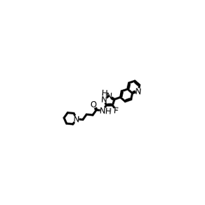 O=C(CCCN1CCCCC1)Nc1[nH]nc(-c2ccc3ncccc3c2)c1F